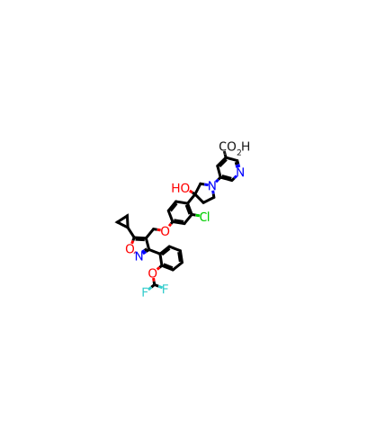 O=C(O)c1cncc(N2CCC(O)(c3ccc(OCc4c(-c5ccccc5OC(F)F)noc4C4CC4)cc3Cl)C2)c1